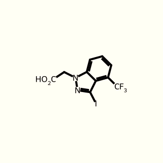 O=C(O)Cn1nc(I)c2c(C(F)(F)F)cccc21